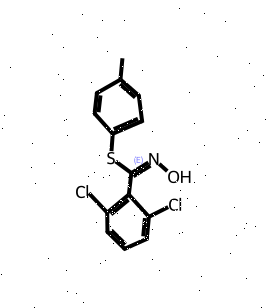 Cc1ccc(S/C(=N/O)c2c(Cl)cccc2Cl)cc1